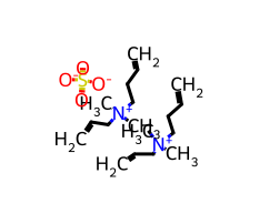 C=CCC[N+](C)(C)CC=C.C=CCC[N+](C)(C)CC=C.O=S(=O)([O-])[O-]